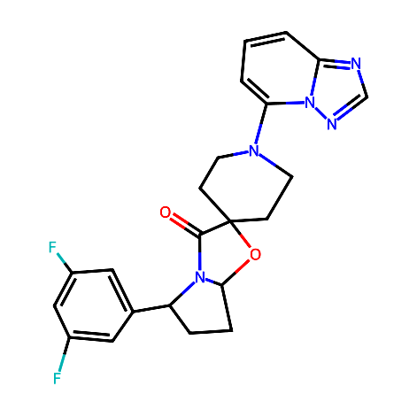 O=C1N2C(CCC2c2cc(F)cc(F)c2)OC12CCN(c1cccc3ncnn13)CC2